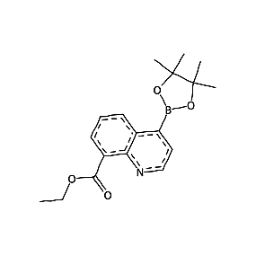 CCOC(=O)c1cccc2c(B3OC(C)(C)C(C)(C)O3)ccnc12